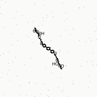 C=CC(=O)OCC(O)COCCCCOc1ccc(-c2ccc(-c3ccc(OCCCCOCC(O)COC(=O)C=C)cc3)cc2)cc1